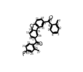 Cc1ccccc1C(=O)c1ccc2oc3ccc(C(=O)c4ccc(F)cc4C)cc3c2c1